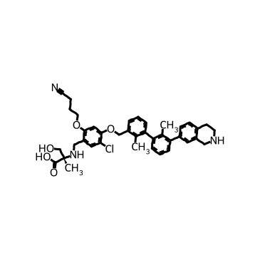 Cc1c(COc2cc(OCCCC#N)c(CN[C@@](C)(CO)C(=O)O)cc2Cl)cccc1-c1cccc(-c2ccc3c(c2)CNCC3)c1C